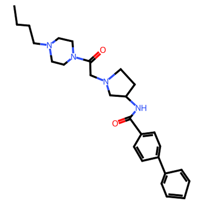 CCCCN1CCN(C(=O)CN2CCC(NC(=O)c3ccc(-c4ccccc4)cc3)C2)CC1